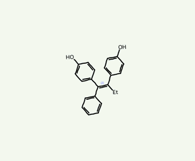 CC/C(=C(\c1ccccc1)c1ccc(O)cc1)c1ccc(O)cc1